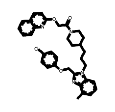 Cc1cccc2c1nc(COc1ccc(Cl)cc1)n2CCCC1CCN(C(=O)COc2ccc3ccccc3n2)CC1